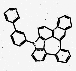 c1ccc(-c2cccc(-n3c4cccc5c4c4c6c(cc7ccccc7c6ccc43)-c3ccccc3-5)c2)cc1